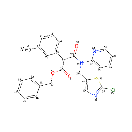 COc1cccc(C(C(=O)OCc2ccccc2)C(=O)N(Cc2cnc(Cl)s2)c2ccccn2)c1